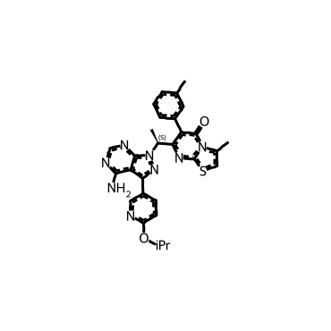 Cc1cccc(-c2c([C@H](C)n3nc(-c4ccc(OC(C)C)nc4)c4c(N)ncnc43)nc3scc(C)n3c2=O)c1